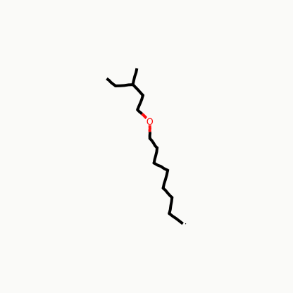 [CH2]CCCCCCCOCCC(C)CC